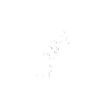 CC(C)(C)OC(=O)ON1CCC(Nc2nc(Nc3cc(Cl)cc(Cl)c3)n[nH]2)CC1